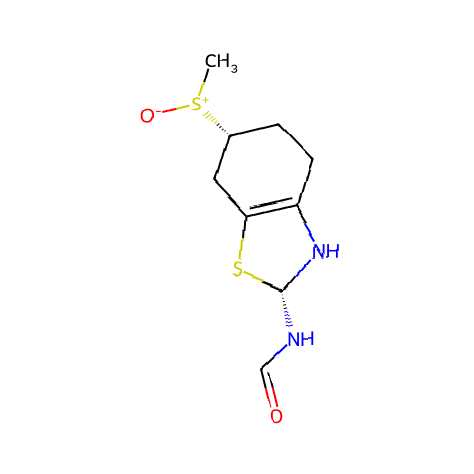 C[S+]([O-])[C@@H]1CCC2=C(C1)S[C@@H](NC=O)N2